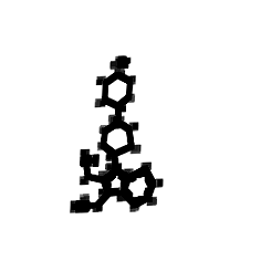 CC(C)C1CCC(N2CCC(n3c(CO)c(CO)c4ccccc43)CC2)CC1